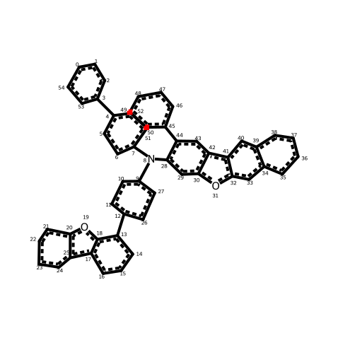 c1ccc(-c2ccc(N(c3ccc(-c4cccc5c4oc4ccccc45)cc3)c3cc4oc5cc6ccccc6cc5c4cc3-c3ccccc3)cc2)cc1